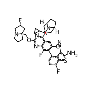 N#Cc1c(N)sc2c(F)ccc(-c3c(Cl)cc4c(N5C[C@H]6CC[C@@H](C5)N6CC5CC5)nc(OC[C@@]56CCCN5C[C@H](F)C6)nc4c3F)c12